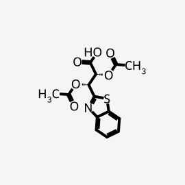 CC(=O)O[C@@H](C(=O)O)[C@@H](OC(C)=O)c1nc2ccccc2s1